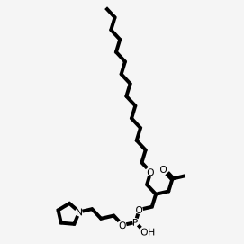 CCCCCCCCCCCCCCCOCC(COP(O)OCCCN1CCCC1)CC(C)=O